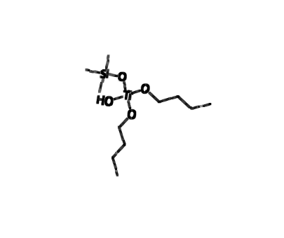 CCCC[O][Ti]([OH])([O]CCCC)[O][Si](C)(C)C